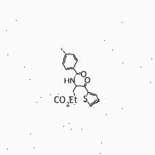 CCOC(=O)CC(NC(=O)c1ccc(C)cc1)C(=O)c1cccs1